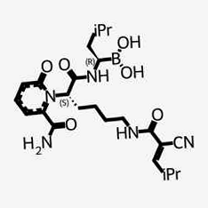 CC(C)C=C(C#N)C(=O)NCCCC[C@@H](C(=O)N[C@@H](CC(C)C)B(O)O)n1c(C(N)=O)cccc1=O